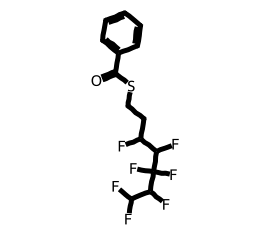 O=C(SCCC(F)C(F)C(F)(F)C(F)C(F)F)c1ccccc1